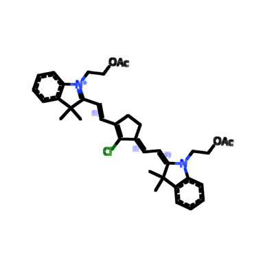 CC(=O)OCCN1/C(=C/C=C2\CCC(/C=C/C3=[N+](CCOC(C)=O)c4ccccc4C3(C)C)=C2Cl)C(C)(C)c2ccccc21